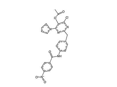 CC(=O)Oc1c(Cl)nc(Cc2ccc(NC(=O)c3ccc([N+](=O)[O-])cc3)cc2)nc1-n1cccc1